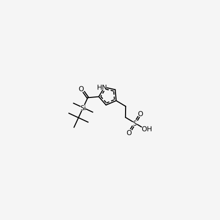 CC(C)(C)[Si](C)(C)C(=O)c1cc(CCS(=O)(=O)O)c[nH]1